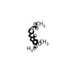 COC(=O)CN1CCC(CC2Cc3cc(OC)c(OC)cc3C2=O)CC1